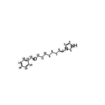 C(=CN1C=CNC1)CCCCCCOCc1ccccc1